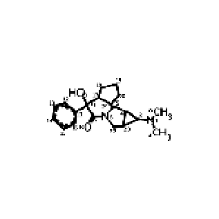 CN(C)C1C2CN(C(=O)C(O)(c3ccccc3)C3CCCC3)CC21